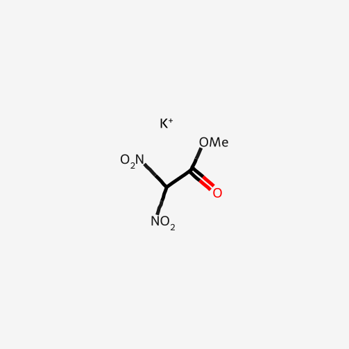 COC(=O)C([N+](=O)[O-])[N+](=O)[O-].[K+]